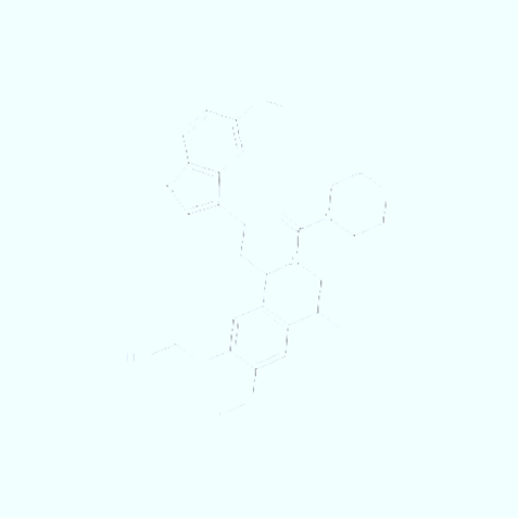 CCOc1cc2c(cc1OC)C(C)CN(C(=O)N1CCOCC1)C2CCc1c[nH]c2ccc(OC)cc12